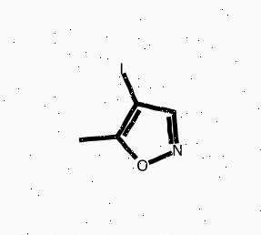 Cc1oncc1I